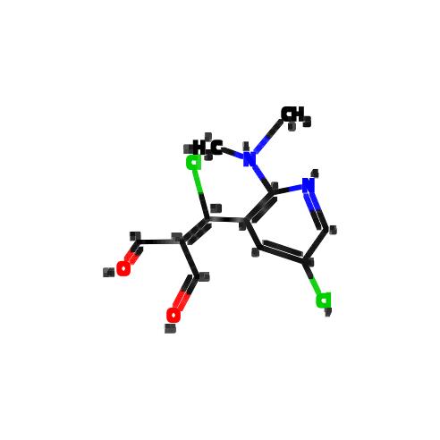 CN(C)c1ncc(Cl)cc1C(Cl)=C(C=O)C=O